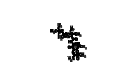 CC(C)C[C@@H](C=C(N)S(C)(=O)=O)C(=O)[C@H](C)NC(=O)[C@@H](NNC(=O)OC(C)(C)C)C(C)C